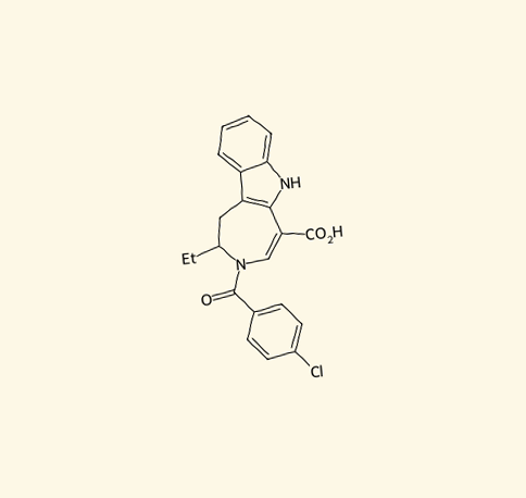 CCC1Cc2c([nH]c3ccccc23)C(C(=O)O)=CN1C(=O)c1ccc(Cl)cc1